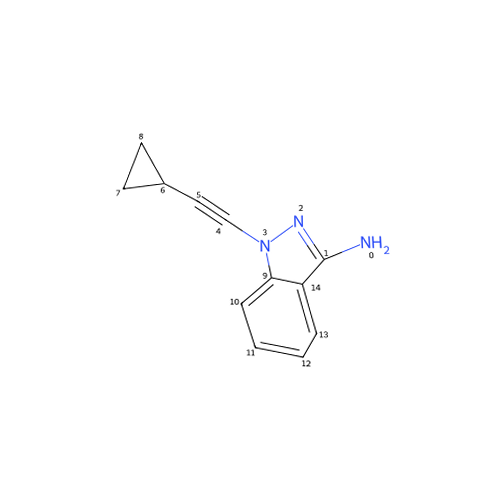 Nc1nn(C#CC2CC2)c2ccccc12